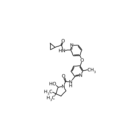 Cc1nc(NC(=O)N2CCC(C)(C)C2O)ccc1Oc1ccnc(NC(=O)C2CC2)c1